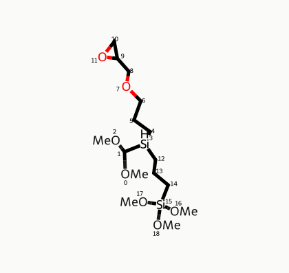 COC(OC)[SiH](CCCOCC1CO1)CCC[Si](OC)(OC)OC